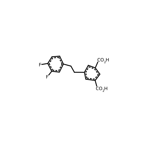 O=C(O)c1cc(CCc2ccc(F)c(F)c2)cc(C(=O)O)c1